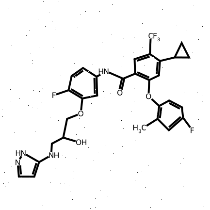 Cc1cc(F)ccc1Oc1cc(C2CC2)c(C(F)(F)F)cc1C(=O)Nc1ccc(F)c(OCC(O)CNc2ccn[nH]2)c1